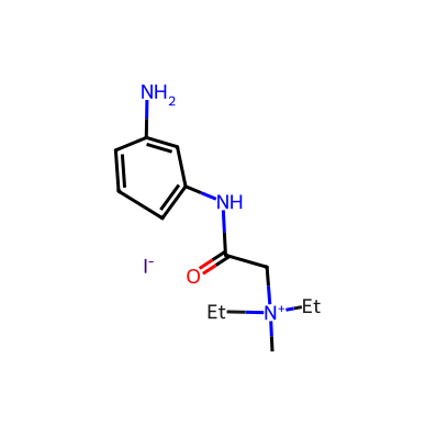 CC[N+](C)(CC)CC(=O)Nc1cccc(N)c1.[I-]